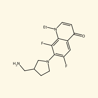 CCn1ccc(=O)c2cc(F)c(N3CCC(CN)C3)c(F)c21